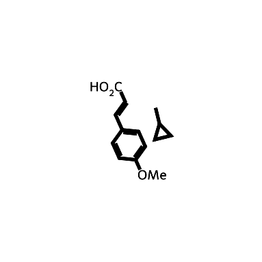 CC1CC1.COc1ccc(/C=C/C(=O)O)cc1